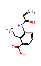 C=CC(=O)Nc1cccc(C(=O)O)c1CC